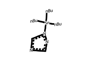 CCC[CH2][Sn]([CH2]CCC)([CH2]CCC)[n]1cncn1